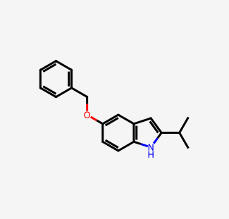 CC(C)c1cc2cc(OCc3ccccc3)ccc2[nH]1